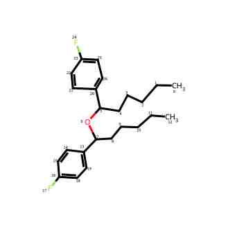 CCCCCC(OC(CCCCC)c1ccc(F)cc1)c1ccc(F)cc1